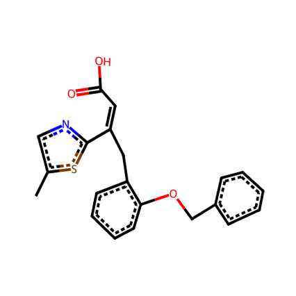 Cc1cnc(/C(=C\C(=O)O)Cc2ccccc2OCc2ccccc2)s1